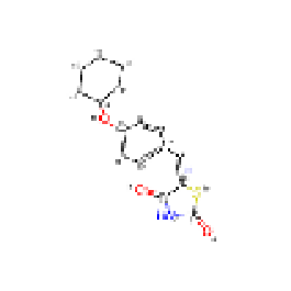 O=C1NC(=O)/C(=C\c2ccc(OC3CCCCC3)cc2)S1